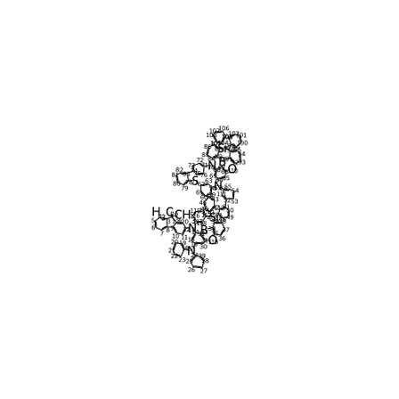 CC1(C)c2ccccc2-c2ccc(N3c4cc(N(c5ccccc5)c5ccccc5)cc5c4B4c6c(cccc6[Si](c6ccccc6)(c6cccc(-c7cccc(N(c8ccccc8)c8cc9c%10c(c8)N(c8ccc%11c(c8)sc8ccccc8%11)c8cccc%11c8B%10c8c(cccc8[Si]%11(c8ccccc8)c8ccccc8)O9)c7)c6)c6cccc3c64)O5)cc21